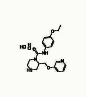 CCOc1ccc(NC(=O)N2CCNCC2COc2cccnc2)cc1.Cl.Cl